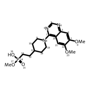 COc1cc2ncnc(N3CCC(CCP(=O)(O)OC)CC3)c2cc1OC